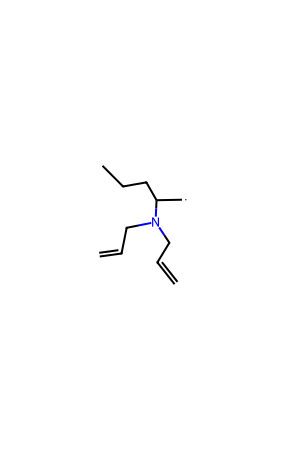 [CH2]C(CCC)N(CC=C)CC=C